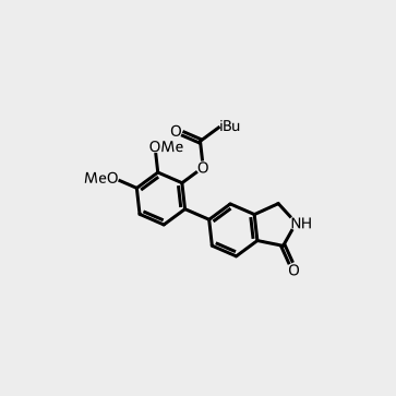 CCC(C)C(=O)Oc1c(-c2ccc3c(c2)CNC3=O)ccc(OC)c1OC